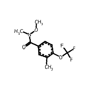 CON(C)C(=O)c1ccc(OC(F)(F)F)c(C)c1